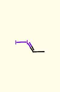 CC=II